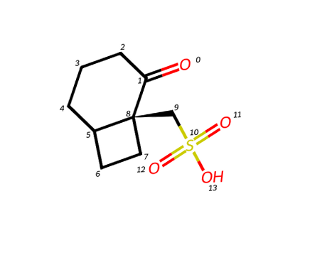 O=C1CCCC2CC[C@@]12CS(=O)(=O)O